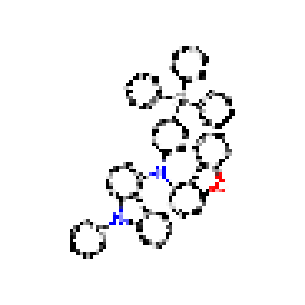 c1ccc(-n2c3ccccc3c3c(N(c4ccc([Si](c5ccccc5)(c5ccccc5)c5ccccc5)cc4)c4cccc5oc6ccccc6c45)cccc32)cc1